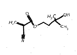 C=C(C#N)C(=O)OCCC(C)(C)O